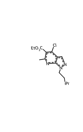 CCOC(=O)c1c(C)nc2c(cnn2CCC(C)C)c1Cl